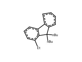 CCCCC1(CCCC)c2ccccc2-c2cccc(CC)c21